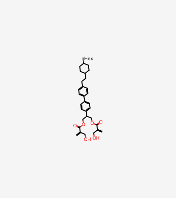 C=C(CO)C(=O)OCC(COC(=O)C(=C)CO)c1ccc(-c2ccc(CCC3CCC(CCCCCC)CC3)cc2)cc1